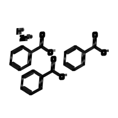 O=C([O-])c1ccccc1.O=C([O-])c1ccccc1.O=C([O-])c1ccccc1.[H+].[Zn+2]